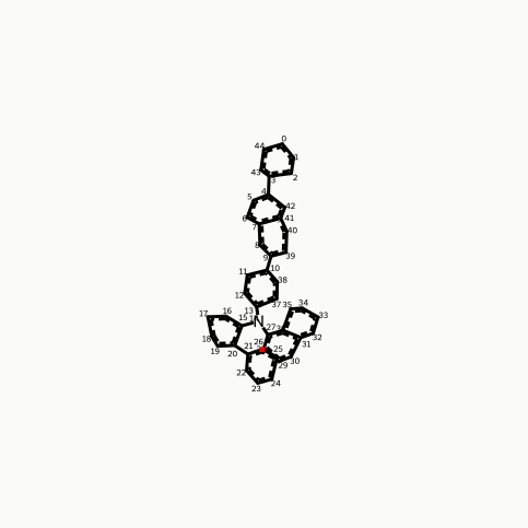 c1ccc(-c2ccc3cc(-c4ccc(N(c5ccccc5-c5ccccc5)c5cccc6ccccc56)cc4)ccc3c2)cc1